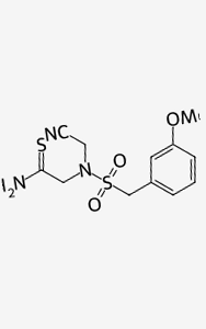 COc1cccc(CS(=O)(=O)N(CC#N)CC(N)=S)c1